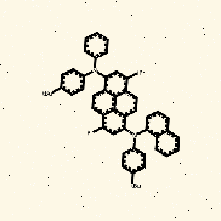 CC(C)c1cc(N(c2ccccc2)c2ccc(C(C)(C)C)cc2)c2ccc3c(C(C)C)cc(N(c4ccc(C(C)(C)C)cc4)c4cccc5ccccc45)c4ccc1c2c34